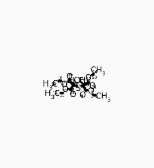 CCOC(=O)C(C)(SC(C)(C(=O)OCC)C(=O)OCC)C(=O)OCC